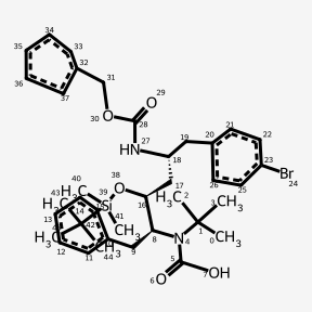 CC(C)(C)N(C(=O)O)[C@@H](Cc1ccccc1)[C@H](C[C@@H](Cc1ccc(Br)cc1)NC(=O)OCc1ccccc1)O[Si](C)(C)C(C)(C)C